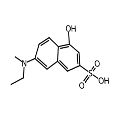 CCN(C)c1ccc2c(O)cc(S(=O)(=O)O)cc2c1